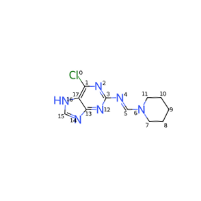 Clc1nc(N=CN2CCCCC2)nc2nc[nH]c12